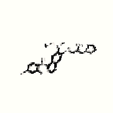 COc1cc2c(Nc3ccc(Cl)cc3F)ncnc2cc1OCC(O)CN1CC=CC1.Cl